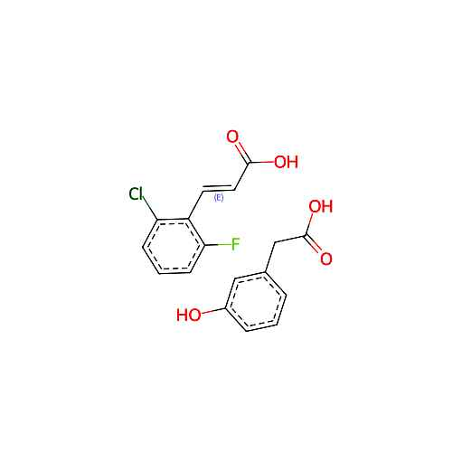 O=C(O)/C=C/c1c(F)cccc1Cl.O=C(O)Cc1cccc(O)c1